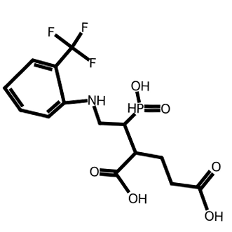 O=C(O)CCC(C(=O)O)C(CNc1ccccc1C(F)(F)F)[PH](=O)O